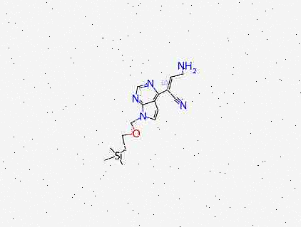 C[Si](C)(C)CCOCn1ccc2c(/C(C#N)=C/CN)ncnc21